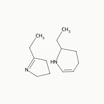 CCC1=NCCC1.CCC1CCC=CN1